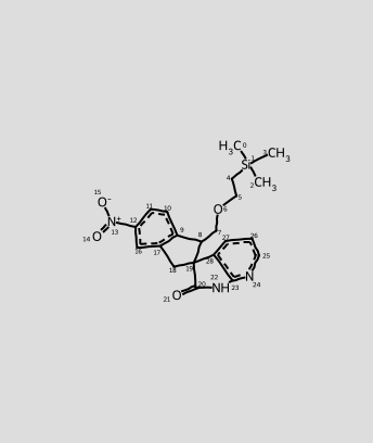 C[Si](C)(C)CCOCC1c2ccc([N+](=O)[O-])cc2CC12C(=O)Nc1ncccc12